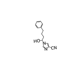 N#Cc1cn(C(O)CCCc2ccccc2)cn1